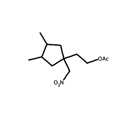 CC(=O)OCCC1(C[N+](=O)[O-])CC(C)C(C)C1